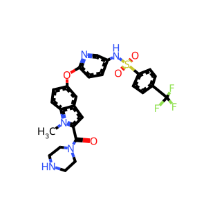 Cn1c(C(=O)N2CCNCC2)cc2cc(Oc3ccc(NS(=O)(=O)c4ccc(C(F)(F)F)cc4)cn3)ccc21